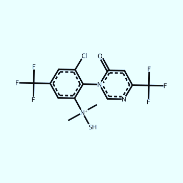 C[N+](C)(S)c1cc(C(F)(F)F)cc(Cl)c1-n1cnc(C(F)(F)F)cc1=O